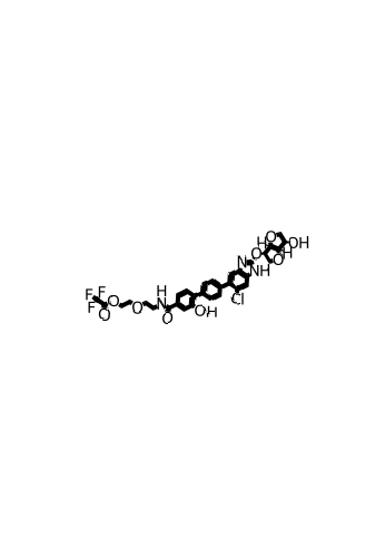 O=C(NCCOCCOC(=O)C(F)(F)F)c1ccc(-c2ccc(-c3cc4nc(O[C@@H]5CO[C@H]6[C@@H]5OC[C@H]6O)[nH]c4cc3Cl)cc2)c(O)c1